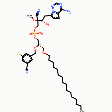 CCCCCCCCCCCCCCCCOC[C@@H](COP(=O)(O)OCC(C#N)(OC)[C@@H](O)Cc1ccc2c(N)ncnn12)OCc1cc(F)cc(C#N)c1